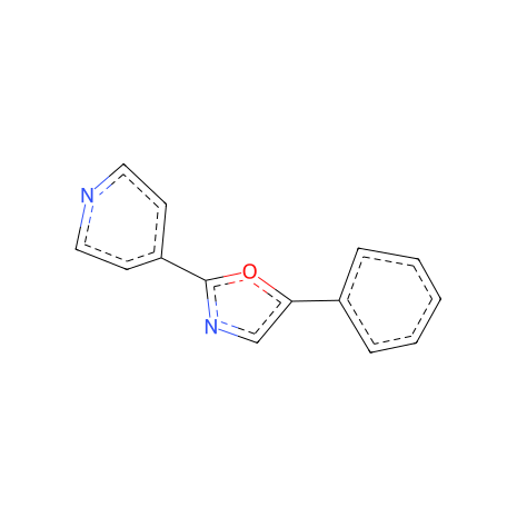 c1ccc(-c2cnc(-c3ccncc3)o2)cc1